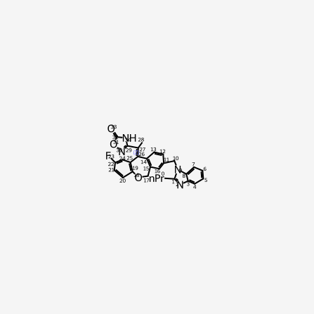 CCCc1nc2ccccc2n1Cc1ccc2c(c1)COc1ccc(F)cc1/C2=C(/C)c1noc(=O)[nH]1